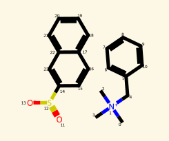 C[N+](C)(C)Cc1ccccc1.O=S([O-])c1ccc2ccccc2c1